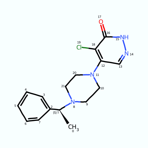 C[C@@H](c1ccccc1)N1CCN(c2cn[nH]c(=O)c2Cl)CC1